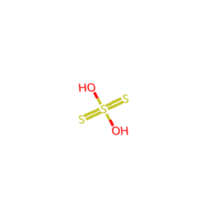 OS(O)(=S)=S